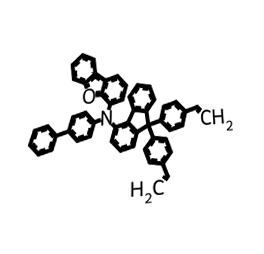 C=Cc1ccc(C2(c3ccc(C=C)cc3)c3ccccc3-c3c(N(c4ccc(-c5ccccc5)cc4)c4cccc5c4oc4ccccc45)cccc32)cc1